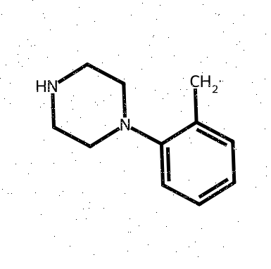 [CH2]c1ccccc1N1CCNCC1